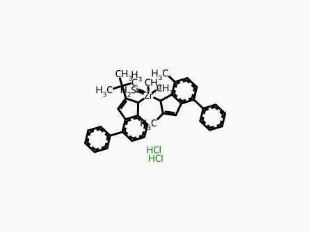 CC1=Cc2c(-c3ccccc3)ccc(C)c2[CH]1[Zr]([CH3])([CH3])(=[SiH2])[CH]1C(C(C)(C)C)=Cc2c(-c3ccccc3)cccc21.Cl.Cl